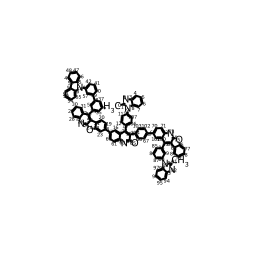 Cc1nc2ccccc2n1-c1ccc(-c2c3cc(-c4ccc5c(c4)oc4nc6ccccc6c(-c6cccc(-c7cccc(-n8c9ccccc9c9ccccc98)c7)c6)c45)ccc3nc3oc4cc(-c5ccc6nc7oc8ccccc8c7c(-c7cccc(-n8c(C)nc9ccccc98)c7)c6c5)ccc4c23)cc1